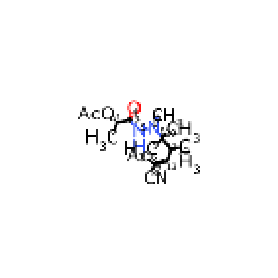 CC(=O)O[C@@H](C)C(=O)NN(C)C(C)(C)C(C)/C=C(/C#N)C(C)=O